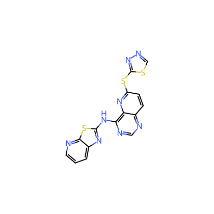 c1cnc2sc(Nc3ncnc4ccc(Sc5nncs5)nc34)nc2c1